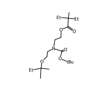 CCC(C)(C)OCCN(CCOC(=O)C(C)(CC)CC)C(=O)OC(C)(C)C